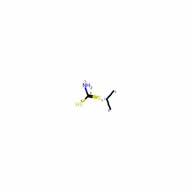 CCC.NC(=S)S